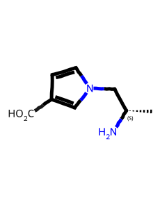 C[C@H](N)Cn1ccc(C(=O)O)c1